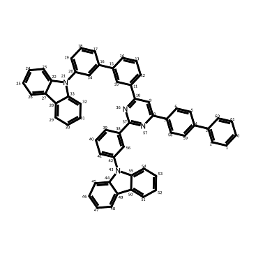 c1ccc(-c2ccc(-c3cc(-c4cccc(-c5cccc(-n6c7ccccc7c7ccccc76)c5)c4)nc(-c4cccc(-n5c6ccccc6c6ccccc65)c4)n3)cc2)cc1